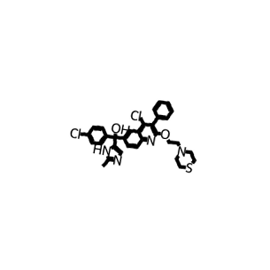 Cc1ncc(C(O)(c2ccc(Cl)cc2)c2ccc3nc(OCCN4CCSCC4)c(-c4ccccc4)c(Cl)c3c2)[nH]1